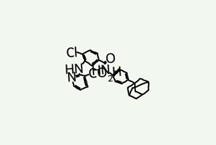 O=C(Nc1ccc(C23CC4CC(CC(C4)C2)C3)cc1)c1ccc(Cl)c(Nc2ncccc2C(=O)O)c1